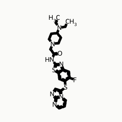 CCN(CC)C1CCN(CC(=O)Nc2nc3cc(F)c(Sc4cnc5ncccn45)cc3s2)CC1